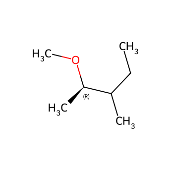 CCC(C)[C@@H](C)OC